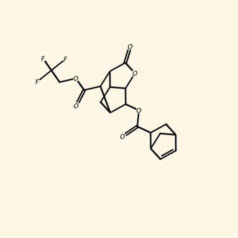 O=C(OC1C2CC3C1OC(=O)C3C2C(=O)OCC(F)(F)F)C1CC2C=CC1C2